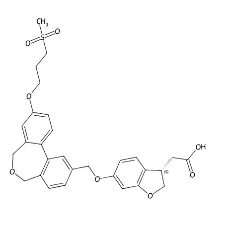 CS(=O)(=O)CCCOc1ccc2c(c1)COCc1ccc(COc3ccc4c(c3)OC[C@H]4CC(=O)O)cc1-2